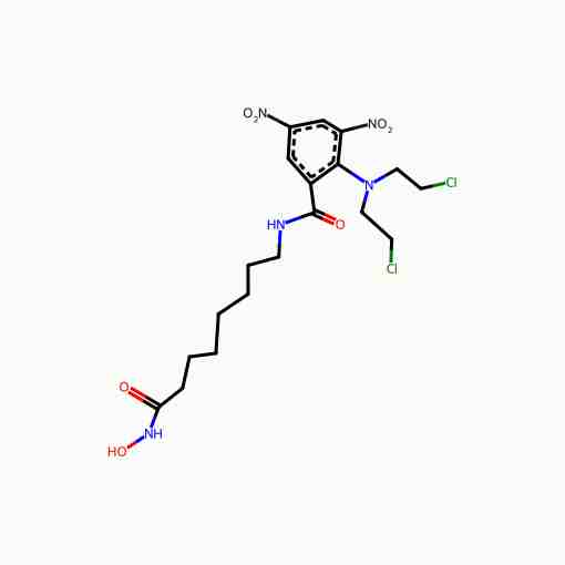 O=C(CCCCCCCNC(=O)c1cc([N+](=O)[O-])cc([N+](=O)[O-])c1N(CCCl)CCCl)NO